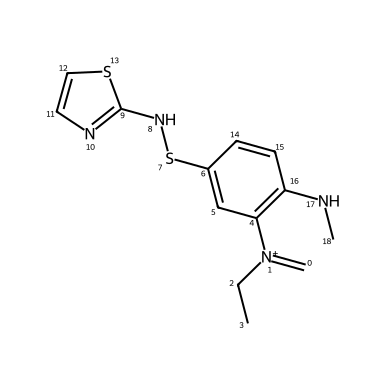 C=[N+](CC)c1cc(SNc2nccs2)ccc1NC